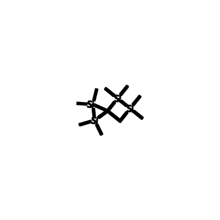 C[Si]1(C)CC2([Si]1(C)C)[Si](C)(C)[Si]2(C)C